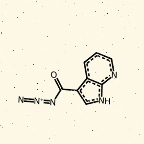 [N-]=[N+]=NC(=O)c1c[nH]c2ncccc12